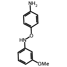 COc1cccc(NOc2ccc(N)cc2)c1